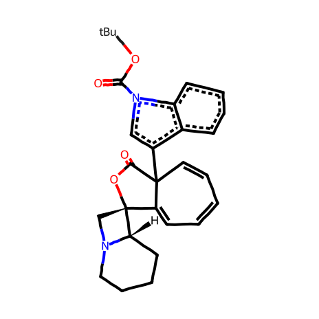 CC(C)(C)OC(=O)n1cc(C23C=CC=CC=C2[C@@]2(CN4CCCC[C@H]42)OC3=O)c2ccccc21